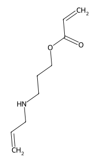 C=CCNCCCOC(=O)C=C